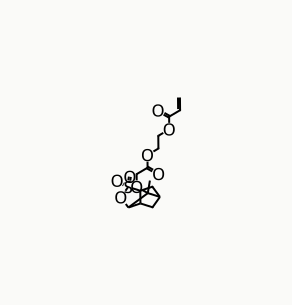 C=CC(=O)OCCOC(=O)COC1(C)C2CC3C1OS(=O)(=O)C3C2